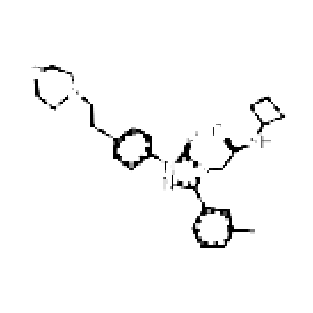 O=C(Cn1c(-c2cccc(Cl)c2)nn(-c2ccc(CCN3CCOCC3)cc2)c1=O)NC1CCC1